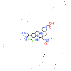 CCC(NC1CCN(CC(=O)O)CC1)C(CNC(C)=O)C(=N)N1CCCc2cc(/C(=C/NC)CN)c(C(F)F)cc21